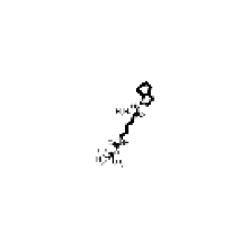 CC(C)(C)OC(=O)NCCCC[C@H](N)C(=O)NN1CCc2ccccc21